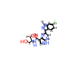 C[C@@H](O)C(CO)NC(=O)c1c[nH]c2ncc(-c3nn(C)c4cc(F)ccc34)nc12